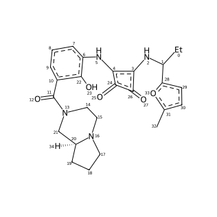 CCC(Nc1c(Nc2cccc(C(=O)N3CCN4CCC[C@H]4C3)c2O)c(=O)c1=O)c1ccc(C)o1